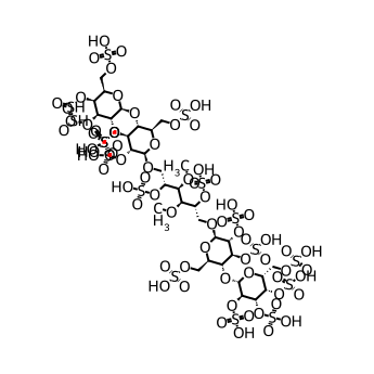 CO[C@@H]([C@H](OC)[C@@H](CO[C@@H]1O[C@H](COS(=O)(=O)O)[C@@H](O[C@@H]2O[C@H](COS(=O)(=O)O)[C@H](OS(=O)(=O)O)[C@H](OS(=O)(=O)O)[C@H]2OS(=O)(=O)O)[C@H](OS(=O)(=O)O)[C@H]1OS(=O)(=O)O)OS(=O)(=O)O)[C@@H](CO[C@@H]1O[C@H](COS(=O)(=O)O)[C@@H](O[C@@H]2O[C@H](COS(=O)(=O)O)[C@H](O[SH](=O)=O)[C@H](O[SH](=O)=O)[C@H]2OS(=O)(=O)O)[C@H](OS(=O)(=O)O)[C@H]1OS(=O)(=O)O)OS(=O)(=O)O